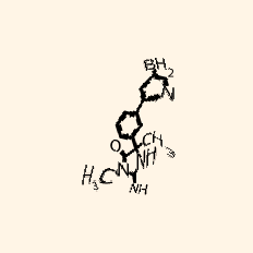 Bc1cncc(-c2cccc(C3(C)NC(=N)N(C)C3=O)c2)c1